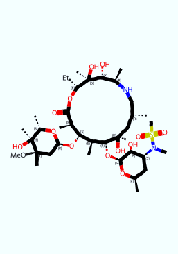 CC[C@H]1OC(=O)[C@H](C)[C@@H](O[C@H]2C[C@@](C)(OC)[C@@](C)(O)[C@H](C)O2)[C@H](C)[C@@H](O[C@@H]2O[C@H](C)C[C@H](N(C)S(C)(=O)=O)[C@H]2O)[C@](C)(O)C[C@@H](C)CN[C@H](C)[C@@H](O)[C@]1(C)O